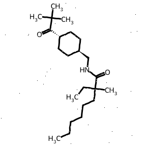 CCCCCCC(C)(CC)C(=O)NC[C@H]1CC[C@H](C(=O)C(C)(C)C)CC1